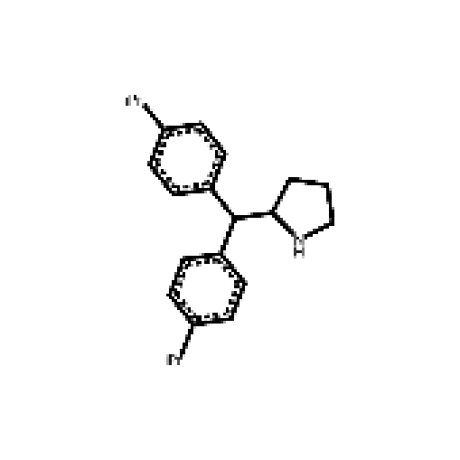 CC(C)c1ccc(C(c2ccc(C(C)C)cc2)C2CCCN2)cc1